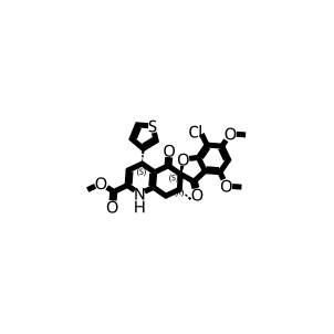 COC(=O)C1=C[C@H](c2ccsc2)C2=C(C[C@@H](C)[C@]3(Oc4c(Cl)c(OC)cc(OC)c4C3=O)C2=O)N1